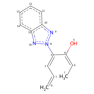 C=C/C=C(\C(O)=C/C)n1nc2ccccc2n1